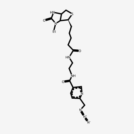 CCN1C(=O)NC2CS[C@@H](CCCCC(=O)NCCNC(=O)c3ccc(CN=[N+]=[N-])nc3)C21